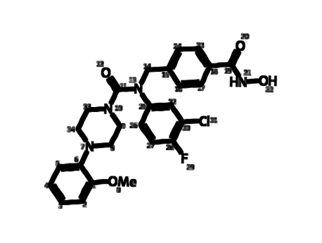 COc1ccccc1N1CCN(C(=O)N(Cc2ccc(C(=O)NO)cc2)c2ccc(F)c(Cl)c2)CC1